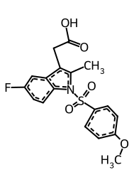 COc1ccc(S(=O)(=O)n2c(C)c(CC(=O)O)c3cc(F)ccc32)cc1